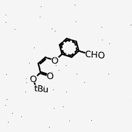 CC(C)(C)OC(=O)/C=C\Oc1cccc(C=O)c1